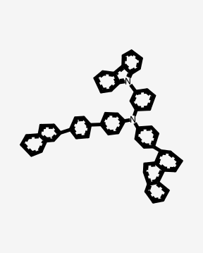 c1cc(N(c2ccc(-c3ccc(-c4ccc5ccccc5c4)cc3)cc2)c2ccc(-c3cccc4c3ccc3ccccc34)cc2)cc(-n2c3ccccc3c3ccccc32)c1